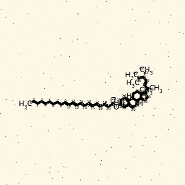 CCCCCCCCC/C=C/C=C/C=C/C=C/C=C/C=C/C(=O)O[C@H]1CC[C@@]2(C)C(=CC[C@H]3[C@@H]4CC[C@H]([C@H](C)/C=C/[C@@H](CC)C(C)C)[C@@]4(C)CC[C@@H]32)C1